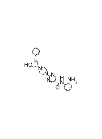 Nc1ccccc1NC(=O)c1cnc(N2CCN(C(/C=C/c3ccccc3)CO)CC2)nc1